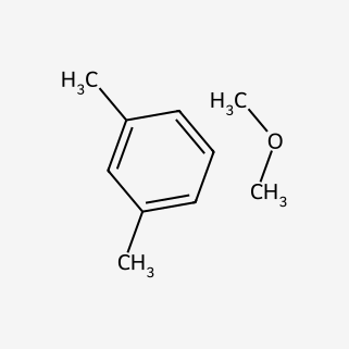 COC.Cc1cccc(C)c1